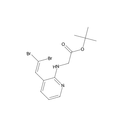 CC(C)(C)OC(=O)CNc1ncccc1C=C(Br)Br